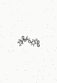 C[C@@H](COc1ccc2c(c1)COC2=O)OC(=O)N1CCCC1